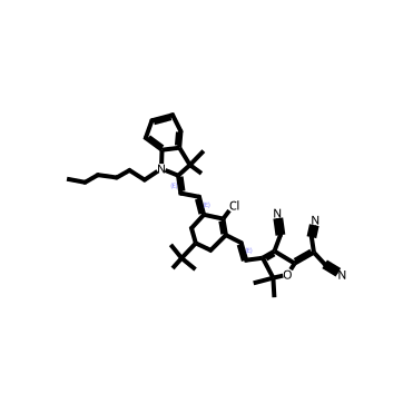 CCCCCCN1/C(=C/C=C2\CC(C(C)(C)C)CC(/C=C/C3=C(C#N)C(=C(C#N)C#N)OC3(C)C)=C2Cl)C(C)(C)c2ccccc21